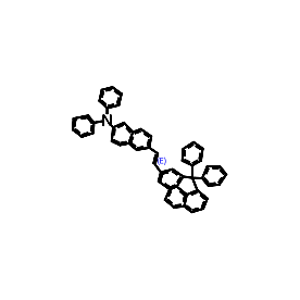 C(=C\c1cc2c3c(ccc4cccc(c43)C2(c2ccccc2)c2ccccc2)c1)/c1ccc2cc(N(c3ccccc3)c3ccccc3)ccc2c1